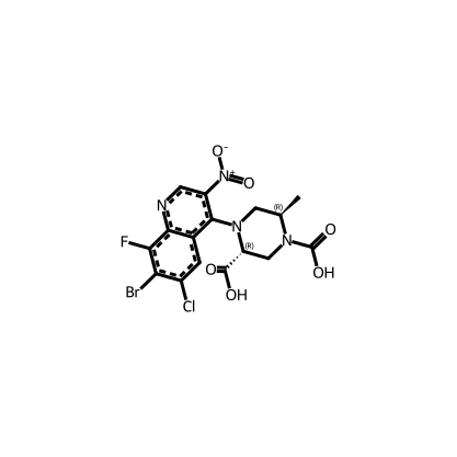 C[C@@H]1CN(c2c([N+](=O)[O-])cnc3c(F)c(Br)c(Cl)cc23)[C@@H](C(=O)O)CN1C(=O)O